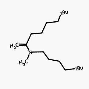 C=C(CCCCC(C)(C)C)N(C)CCCCC(C)(C)C